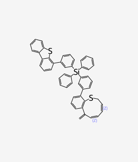 C=C1/C=C\C=C/CSc2c1cccc2-c1cccc([Si](c2ccccc2)(c2ccccc2)c2cccc(-c3cccc4c3sc3ccccc34)c2)c1